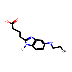 CCCNc1ccc2c(c1)nc(CCCC(=O)O)n2C